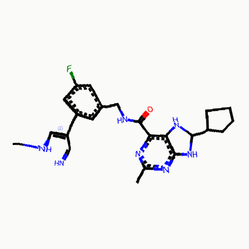 CN/C=C(\C=N)c1cc(F)cc(CNC(=O)c2nc(C)nc3c2NC(C2CCCC2)N3)c1